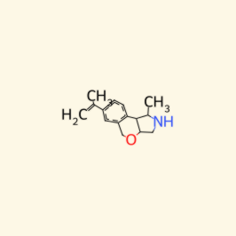 C=C(C)c1ccc2c(c1)COC1CNC(C)C21